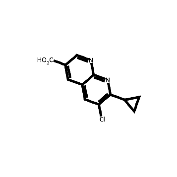 O=C(O)c1cnc2nc(C3CC3)c(Cl)cc2c1